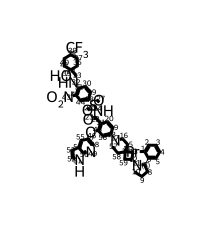 CC(C)c1ccccc1[C@@H]1CCCN1C1CC2(CCN(c3ccc(C(=O)NS(=O)(=O)c4ccc(NC[C@]5(O)CC[C@@H](C(F)(F)F)CC5)c([N+](=O)[O-])c4)c(Oc4cnc5[nH]ccc5c4)c3)CC2)C1